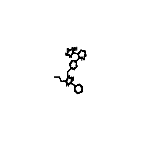 CCCc1nc(-c2ccccc2)nn1Cc1ccc(-c2ncccc2-c2nnn[nH]2)cc1